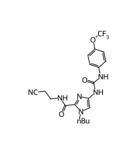 CCCCn1cc(NC(=O)Nc2ccc(OC(F)(F)F)cc2)nc1C(=O)NCCC#N